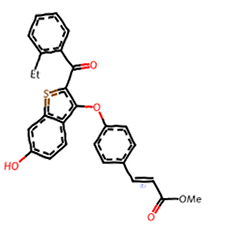 CCc1ccccc1C(=O)c1sc2cc(O)ccc2c1Oc1ccc(/C=C/C(=O)OC)cc1